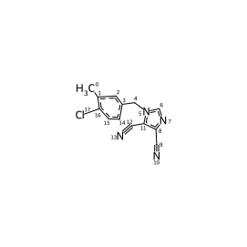 Cc1cc(Cn2cnc(C#N)c2C#N)ccc1Cl